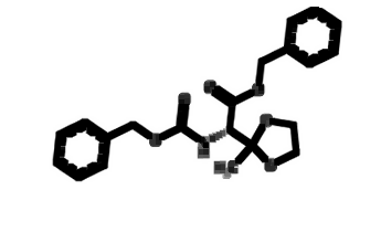 CC1([C@H](NC(=O)OCc2ccccc2)C(=O)OCc2ccccc2)OCCO1